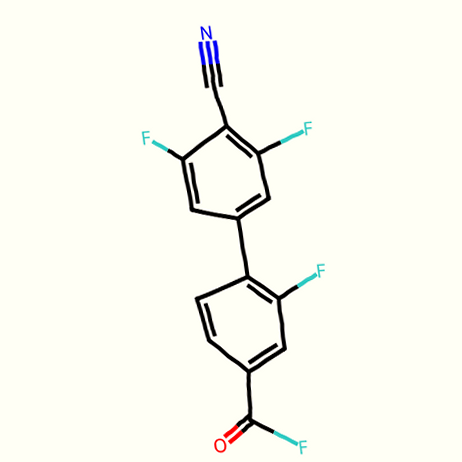 N#Cc1c(F)cc(-c2ccc(C(=O)F)cc2F)cc1F